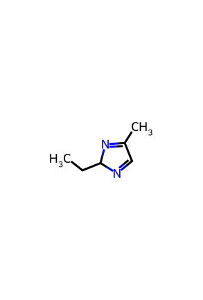 CCC1N=CC(C)=N1